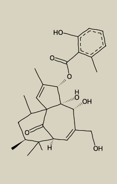 CC1=CC23C(=O)[C@@H](C=C(CO)[C@@H](O)[C@]2(O)[C@H]1OC(=O)c1c(C)cccc1O)C(C)(C)[C@@H](C)CC3C